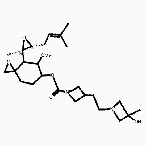 COC1C(OC(=O)N2CC(CCN3CC(C)(O)C3)C2)CCC2(CO2)C1[C@@]1(C)O[C@@H]1CC=C(C)C